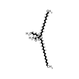 CCCCCCCCCCCCCCCCCCOC(CCCCCCCCCCCCCCCC)(OCCCCC)C(=O)OC(C)=O